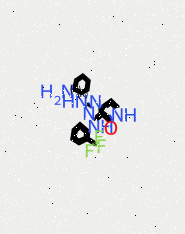 N[C@@H]1CCCC[C@H]1Nc1nc(Nc2ccccc2C(F)(F)F)c2c(=O)[nH]ccc2n1